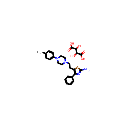 Cc1ccc(N2CCN(CCc3sc(N)nc3-c3ccccc3)CC2)cc1.O=C(O)C(O)C(O)C(=O)O